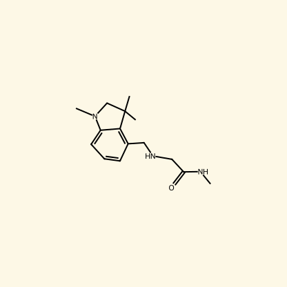 CNC(=O)CNCc1cccc2c1C(C)(C)CN2C